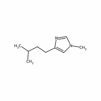 CC(C)CCc1cn(C)cn1